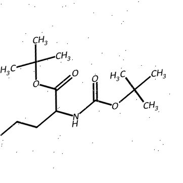 CC(C)(C)OC(=O)NC(CCS)C(=O)OC(C)(C)C